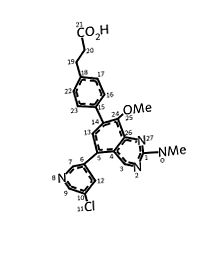 CNc1ncc2c(-c3cncc(Cl)c3)cc(-c3ccc(CCC(=O)O)cc3)c(OC)c2n1